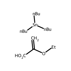 C=C(OCC)C(=O)O.CCC[CH2][Sn]([CH2]CCC)[CH2]CCC